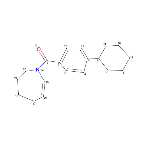 O=C(c1ccc(C2CCCCC2)cc1)N1C=CCCCC1